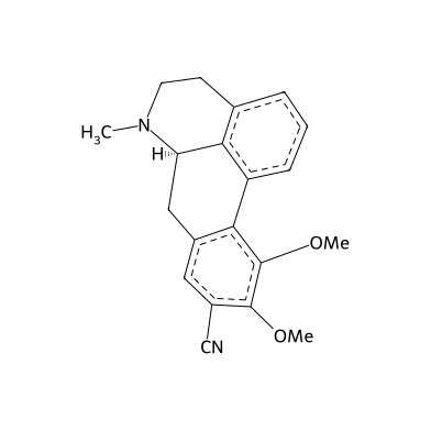 COc1c(C#N)cc2c(c1OC)-c1cccc3c1[C@@H](C2)N(C)CC3